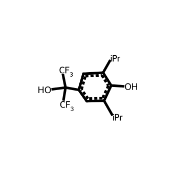 CC(C)c1cc(C(O)(C(F)(F)F)C(F)(F)F)cc(C(C)C)c1O